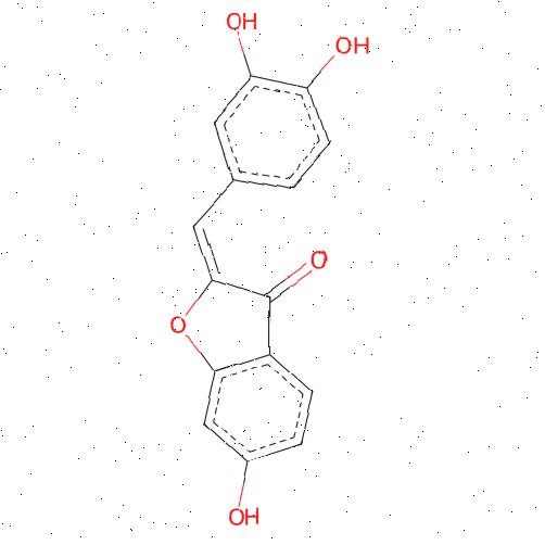 O=C1C(=Cc2ccc(O)c(O)c2)Oc2cc(O)ccc21